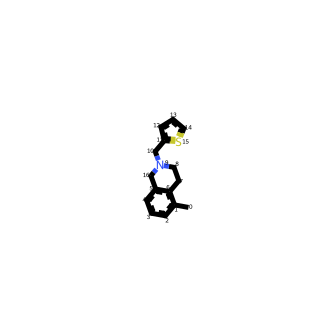 Cc1cccc2c1CCN(Cc1cccs1)C2